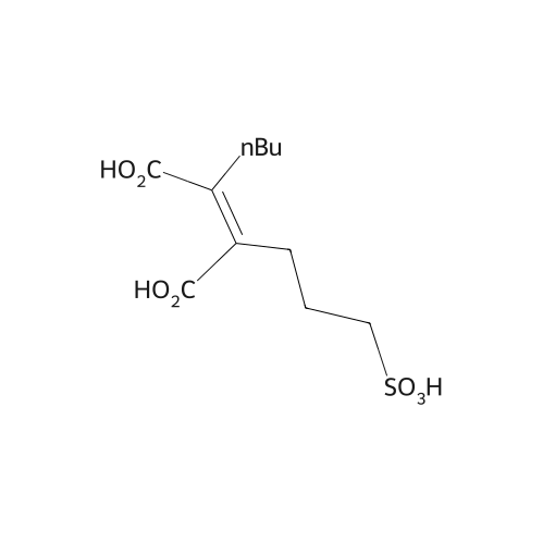 CCCCC(C(=O)O)=C(CCCS(=O)(=O)O)C(=O)O